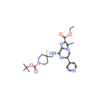 CCOC(=O)c1nc2c(NCC3(F)CCN(C(=O)OC(C)(C)C)CC3)nc(-c3ccncc3)cn2c1C